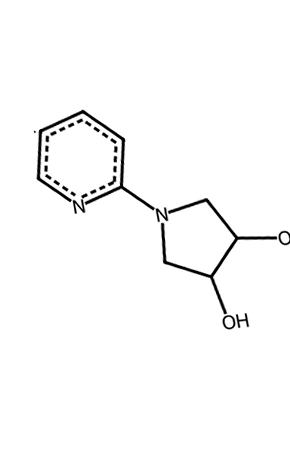 OC1CN(c2cc[c]cn2)CC1O